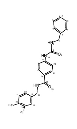 O=C(NCc1ccncc1)Nc1ccc(C(=O)NCc2ccc(F)c(F)c2)cc1